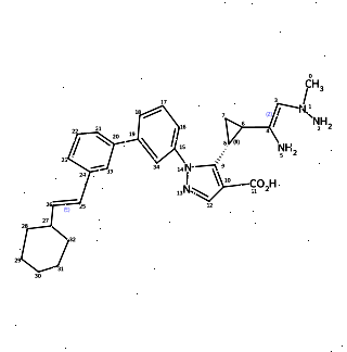 CN(N)/C=C(\N)C1C[C@H]1c1c(C(=O)O)cnn1-c1cccc(-c2cccc(/C=C/C3CCCCC3)c2)c1